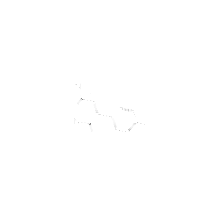 NC(=O)C=C(C(N)=O)c1ccc(O)cc1